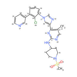 CS(=O)(=O)N1CCC(Nc2ncc(C(F)(F)F)c(-c3cn(-c4cccc(-c5cccnc5)c4Cl)cn3)n2)CC1